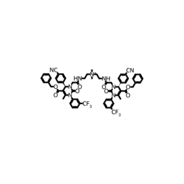 CC1=C(C(=O)OCc2ccccc2)[C@@H](c2ccc(C#N)cc2)N(CC(=O)NCC[N+](C)(C)CCNC(=O)CN2C(=O)N(c3cccc(C(F)(F)F)c3)C(C)=C(C(=O)OCc3ccccc3)[C@H]2c2ccc(C#N)cc2)C(=O)N1c1cccc(C(F)(F)F)c1